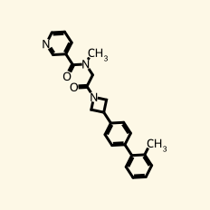 Cc1ccccc1-c1ccc(C2CN(C(=O)CN(C)C(=O)c3cccnc3)C2)cc1